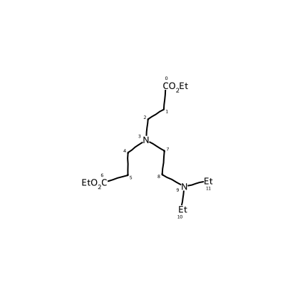 CCOC(=O)CCN(CCC(=O)OCC)CCN(CC)CC